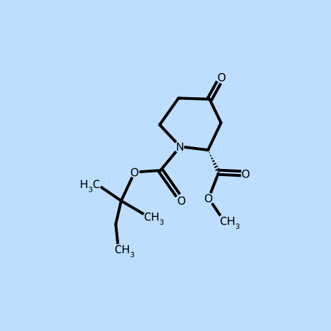 CCC(C)(C)OC(=O)N1CCC(=O)C[C@@H]1C(=O)OC